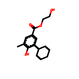 Cc1cc(C(=O)OCCO)cc(C2CCCCC2)c1O